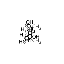 CC[C@H]1[C@@H](O)C2C3CC[C@H]([C@H](C)CCC(=O)O)[C@@H]3[C@H](C)CC2[C@@]2(C)CC[C@@H](O)C[C@@H]12